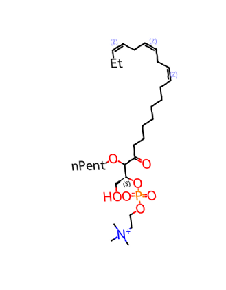 CC/C=C\C/C=C\C/C=C\CCCCCCCC(=O)C(OCCCCC)[C@H](CO)OP(=O)([O-])OCC[N+](C)(C)C